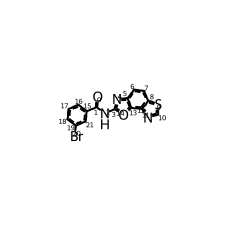 O=C(Nc1nc2ccc3scnc3c2o1)c1cccc(Br)c1